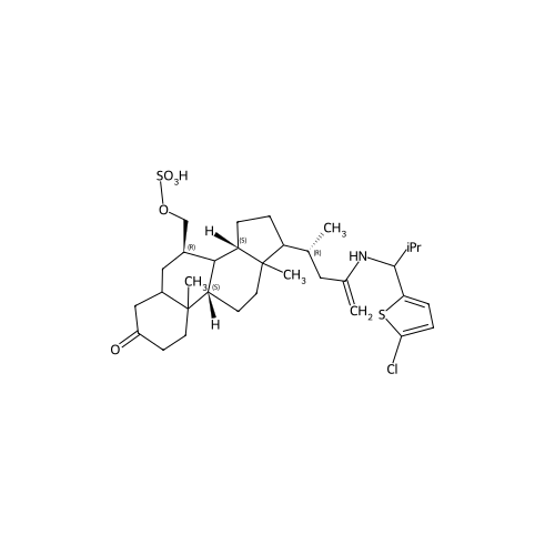 C=C(C[C@@H](C)C1CC[C@H]2C3[C@H](COS(=O)(=O)O)CC4CC(=O)CCC4(C)[C@H]3CCC12C)NC(c1ccc(Cl)s1)C(C)C